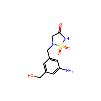 Nc1cc(CO)cc(CN2CC(=O)NS2(=O)=O)c1